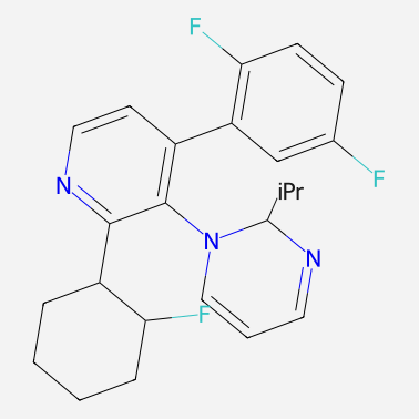 CC(C)C1N=CC=CN1c1c(-c2cc(F)ccc2F)ccnc1C1CCCCC1F